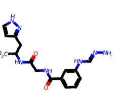 CCOC(=O)C(Cc1cc[nH]n1)NC(=O)CNC(=O)c1cccc(NC=NN)c1